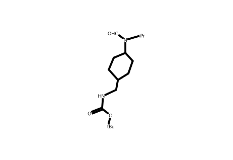 CC(C)N(C=O)C1CCC(CNC(=O)OC(C)(C)C)CC1